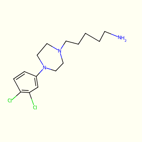 NCCCCCN1CCN(c2ccc(Cl)c(Cl)c2)CC1